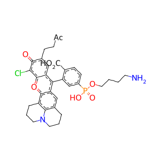 CC(=O)CCc1cc2c(-c3cc(P(=O)(O)OCCCCN)ccc3C(=O)O)c3cc4c5c(c3oc-2c(Cl)c1=O)CCCN5CCC4